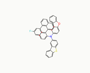 Fc1cccc(-c2cccc3cccc(-c4ccccc4N(c4ccc5oc6ccccc6c5c4)c4ccc5sc6ccccc6c5c4)c23)c1